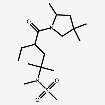 CCC(CC(C)(C)N(C)S(C)(=O)=O)C(=O)N1CC(C)(C)CC1C